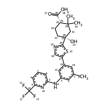 Cc1cc(Nc2cccc(C(F)(F)F)n2)cc(-c2cnc([C@@]3(O)CC[C@H](C(=O)O)C(C)(C)C3)s2)c1